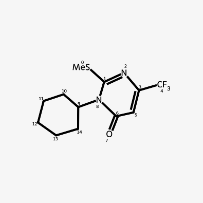 CSc1nc(C(F)(F)F)cc(=O)n1C1CCCCC1